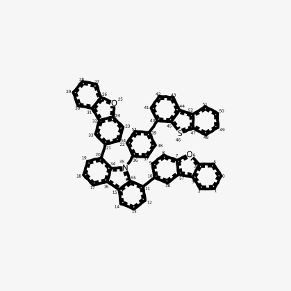 c1ccc2c(c1)oc1ccc(-c3cccc4c5cccc(-c6ccc7oc8ccccc8c7c6)c5n(-c5ccc(-c6cccc7c6sc6ccccc67)cc5)c34)cc12